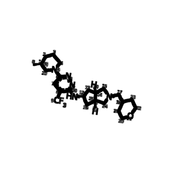 C[C@H]1CCCN(c2cc(C(F)(F)F)c(N[C@H]3C[C@@H]4CN(CC5CCOCC5)C[C@@H]4C3)nn2)C1